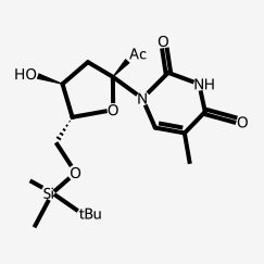 CC(=O)[C@]1(n2cc(C)c(=O)[nH]c2=O)C[C@H](O)[C@@H](CO[Si](C)(C)C(C)(C)C)O1